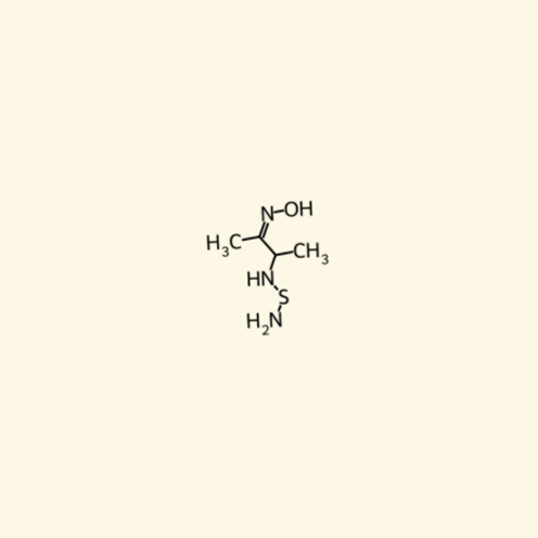 CC(=NO)C(C)NSN